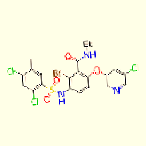 CCNC(=O)c1c(Oc2cncc(Cl)c2)ccc(NS(=O)(=O)c2cc(C)c(Cl)cc2Cl)c1Br